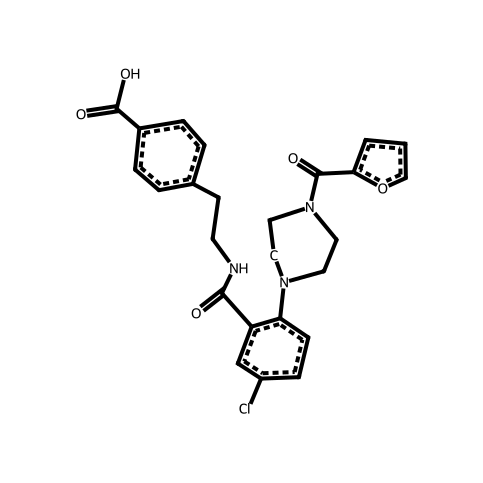 O=C(O)c1ccc(CCNC(=O)c2cc(Cl)ccc2N2CCN(C(=O)c3ccco3)CC2)cc1